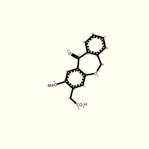 COc1cc2c(cc1CC(=O)O)OCc1ccccc1C2=O